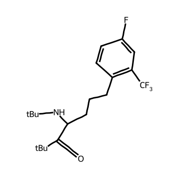 CC(C)(C)NC(CCCc1ccc(F)cc1C(F)(F)F)C(=O)C(C)(C)C